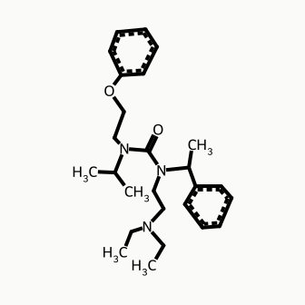 CCN(CC)CCN(C(=O)N(CCOc1ccccc1)C(C)C)C(C)c1ccccc1